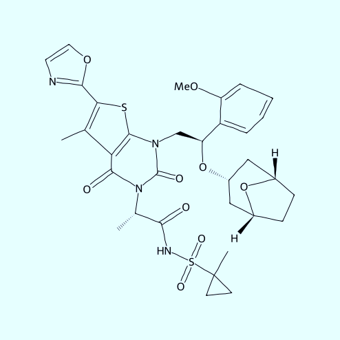 COc1ccccc1[C@H](Cn1c(=O)n([C@@H](C)C(=O)NS(=O)(=O)C2(C)CC2)c(=O)c2c(C)c(-c3ncco3)sc21)O[C@H]1C[C@H]2CC[C@@H](C1)O2